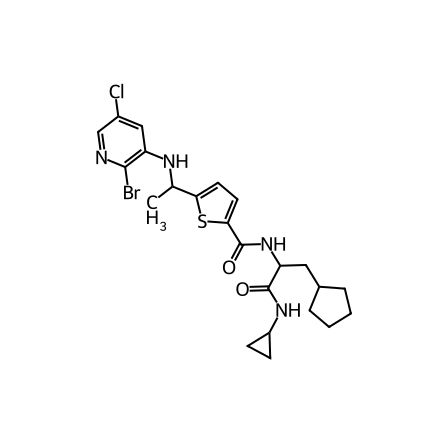 CC(Nc1cc(Cl)cnc1Br)c1ccc(C(=O)NC(CC2CCCC2)C(=O)NC2CC2)s1